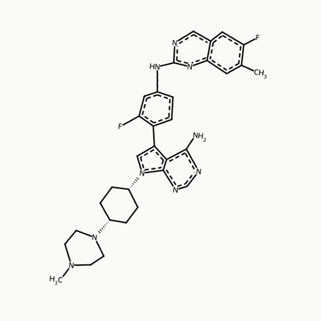 Cc1cc2nc(Nc3ccc(-c4cn([C@H]5CC[C@@H](N6CCN(C)CC6)CC5)c5ncnc(N)c45)c(F)c3)ncc2cc1F